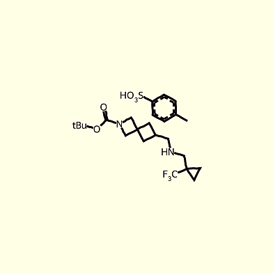 CC(C)(C)OC(=O)N1CC2(CC(CNCC3(C(F)(F)F)CC3)C2)C1.Cc1ccc(S(=O)(=O)O)cc1